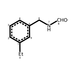 CCc1cccc(CN[C]=O)c1